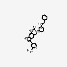 Cc1cc(-c2n[nH]c3cc4c(cc23)CN([C@@H]2CCC[C@H](NCc3ccccc3)C2)C(=O)N4)ccn1